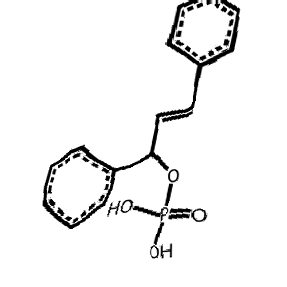 O=P(O)(O)OC(C=Cc1ccccc1)c1ccccc1